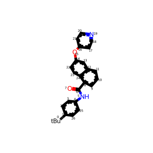 CC(C)(C)c1ccc(NC(=O)c2cccc3cc(Oc4ccncc4)ccc23)cc1